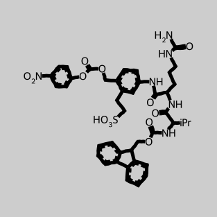 CC(C)C(NC(=O)OCC1c2ccccc2-c2ccccc21)C(=O)NC(CCCNC(N)=O)C(=O)Nc1ccc(COC(=O)Oc2ccc([N+](=O)[O-])cc2)c(CCS(=O)(=O)O)c1